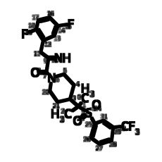 CC(C)(C1CCN(C(=O)C(=N)Cc2cc(F)ccc2F)CC1)S(=O)(=O)c1cccc(C(F)(F)F)c1